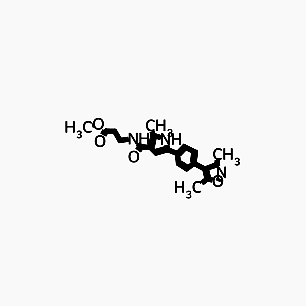 COC(=O)CCNC(=O)c1cc(-c2ccc(-c3c(C)noc3C)cc2)[nH]c1C